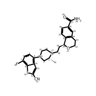 C[C@@H]1CN(c2ccc(F)c3sc(C#N)cc23)CCN1CC[C@@H]1OCCc2cc(C(N)=O)ccc21